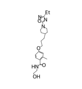 CCc1noc(N2CCC(CCCOc3ccc(C(=O)NCCO)c(C)c3)CC2)n1